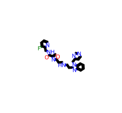 O=C(NCc1ncccc1F)c1coc(CCNCCc2nc3ccccc3n2Cc2ccncn2)n1